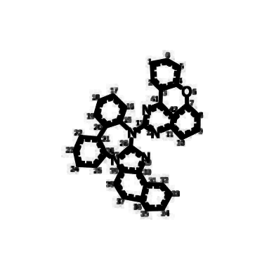 c1ccc2c(c1)Oc1cccc3nc(N4c5ccccc5-c5ccccc5-n5c4nc4c6ccccc6ccc45)nc-2c13